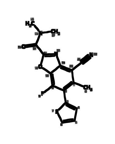 Cc1c(-c2cccs2)c(F)c2oc(C(=O)N(C)C)nc2c1C#N